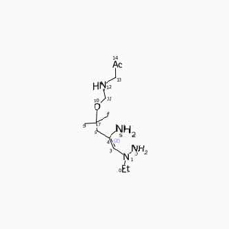 CCN(N)/C=C(\N)CC(C)(C)OCNCC(C)=O